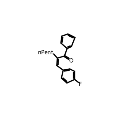 CCCCCC(=Cc1ccc(F)cc1)C(=O)c1ccccc1